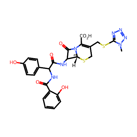 Cn1nnnc1SCC1=C(C(=O)O)N2C(=O)C(NC(=O)C(NC(=O)c3ccccc3O)c3ccc(O)cc3)[C@H]2SC1